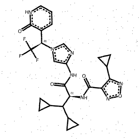 O=C(N[C@H](C(=O)Nc1cn([C@H](c2ccc[nH]c2=O)C(F)(F)F)cn1)C(C1CC1)C1CC1)c1nonc1C1CC1